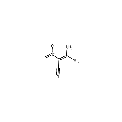 N#CC(=C(N)N)[N+](=O)[O-]